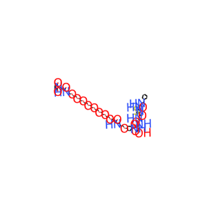 O=C(O)C[C@H](NC(=O)CNC(=O)c1csc(NC(=O)NCc2ccccc2)n1)C(=O)Nc1ccc(OCCCNC(=O)CCOCCOCCOCCOCCOCCOCCOCCOCCNC(=O)CCN2C(=O)C=CC2=O)cc1